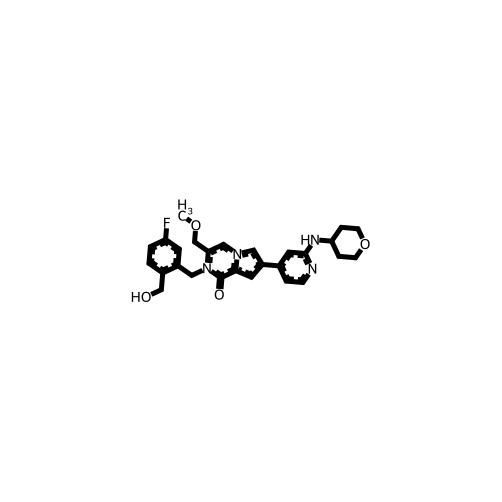 COCc1cn2cc(-c3ccnc(NC4CCOCC4)c3)cc2c(=O)n1Cc1cc(F)ccc1CO